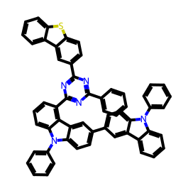 c1ccc(-c2nc(-c3ccc4sc5ccccc5c4c3)nc(-c3cccc4c3c3cc(-c5ccc6c(c5)c5ccccc5n6-c5ccccc5)ccc3n4-c3ccccc3)n2)cc1